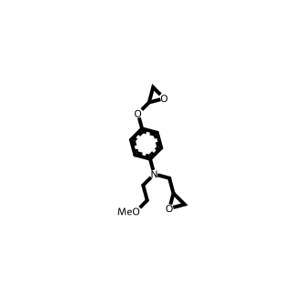 COCCN(CC1CO1)c1ccc(OC2CO2)cc1